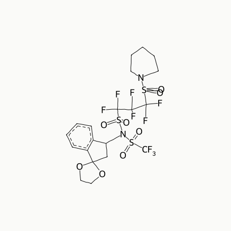 O=S(=O)(N(C1CC2(OCCO2)c2ccccc21)S(=O)(=O)C(F)(F)C(F)(F)C(F)(F)S(=O)(=O)N1CCCCC1)C(F)(F)F